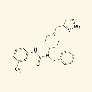 O=C(Nc1cccc(C(F)(F)F)c1)N(Cc1ccccc1)C1CCN(Cc2cc[nH]n2)CC1